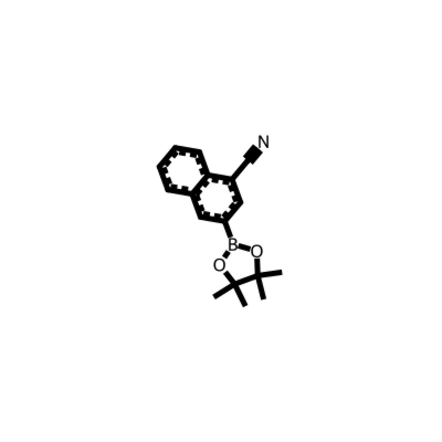 CC1(C)OB(c2cc(C#N)c3ccccc3c2)OC1(C)C